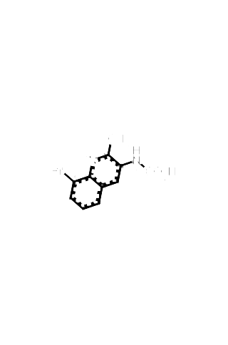 Cc1nc2c(Br)cccc2cc1NC(=O)O